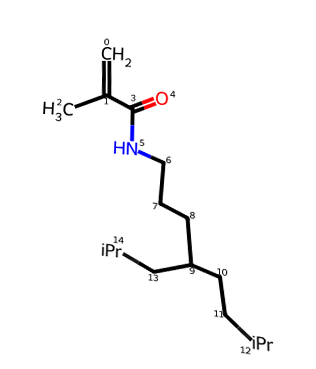 C=C(C)C(=O)NCCCC(CCC(C)C)CC(C)C